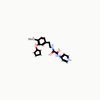 COc1ccc(CCNC(=O)C(=O)Nc2ccncc2)cc1OC1CCCC1